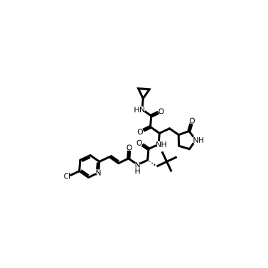 CC(C)(C)C[C@H](NC(=O)/C=C/c1ccc(Cl)cn1)C(=O)NC(CC1CCNC1=O)C(=O)C(=O)NC1CC1